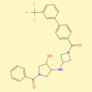 O=C(c1ccc(-c2cccc(C(F)(F)F)c2)cc1)N1CC(NC2CN(C(=O)c3ccccc3)CC2O)C1